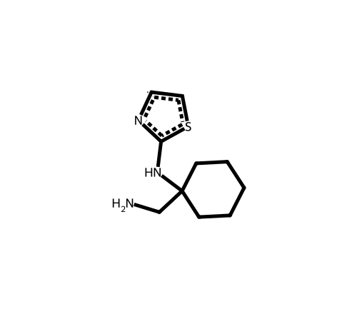 NCC1(Nc2n[c]cs2)CCCCC1